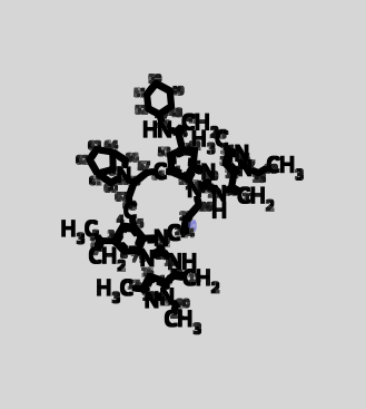 C=C(C)c1cc2c3c(c1)nc(NC(=C)c1cc(C)nn1CC)n3C/C=C/Cn1c(NC(=C)c3cc(C)nn3CC)nc3cc(C(=C)NC4CCCCC4)cc(c31)CCC(N1CC3CCC(C3)C1)CC2